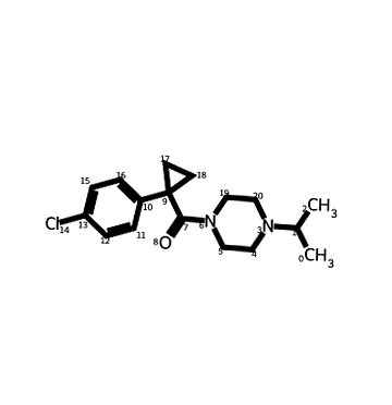 CC(C)N1CCN(C(=O)C2(c3ccc(Cl)cc3)CC2)CC1